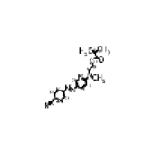 C=C(C)C(=O)OCCN(C)c1ccc(/N=N/c2ccc(C#N)nc2)cn1